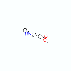 CCOC(=O)c1ccc(C2CCC(NCc3ccccc3)CC2)cc1